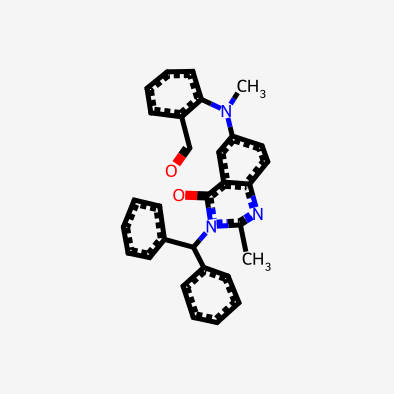 Cc1nc2ccc(N(C)c3ccccc3C=O)cc2c(=O)n1C(c1ccccc1)c1ccccc1